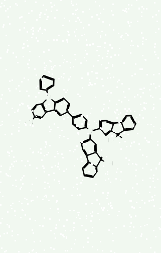 [C-]#[N+]c1ccc2c(c1)c1cc(-c3ccc(N(c4ccc5c(c4)C(C)(C)c4ccccc4-5)c4ccc5c(c4)C(C)(C)c4ccccc4-5)cc3)ccc1n2-c1ccccc1